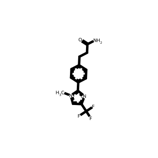 Cn1cc(C(F)(F)F)nc1-c1ccc(CCC(N)=O)cc1